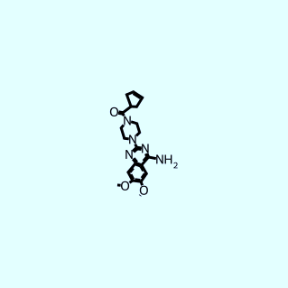 COc1cc2nc(N3CCN(C(=O)C4CC=CC4)CC3)nc(N)c2cc1OC